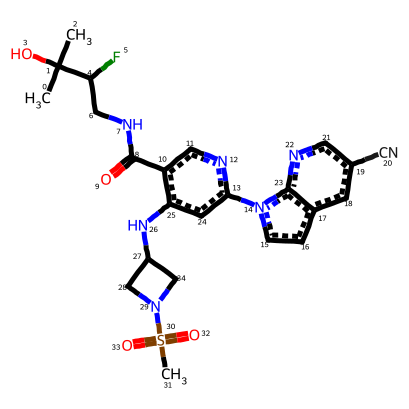 CC(C)(O)C(F)CNC(=O)c1cnc(-n2ccc3cc(C#N)cnc32)cc1NC1CN(S(C)(=O)=O)C1